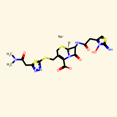 CN(C)C(=O)Cc1nnc(SCC2=C(C(=O)[O-])N3C(=O)C(NC(=O)Cc4csc(=N)n4O)[C@@H]3SC2)s1.[Na+]